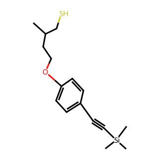 CC(CS)CCOc1ccc(C#C[Si](C)(C)C)cc1